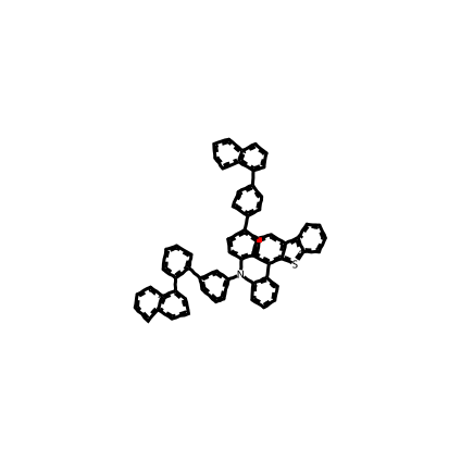 c1cc(-c2ccccc2-c2cccc3ccccc23)cc(N(c2ccc(-c3ccc(-c4cccc5ccccc45)cc3)cc2)c2ccccc2-c2cccc3c2sc2ccccc23)c1